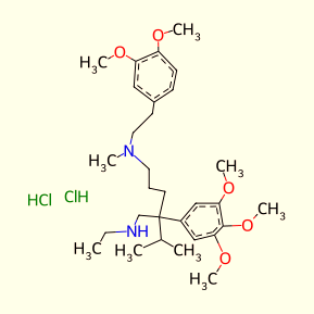 CCNCC(CCCN(C)CCc1ccc(OC)c(OC)c1)(c1cc(OC)c(OC)c(OC)c1)C(C)C.Cl.Cl